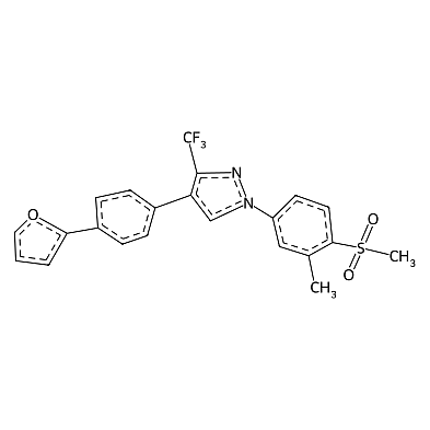 Cc1cc(-n2cc(-c3ccc(-c4ccco4)cc3)c(C(F)(F)F)n2)ccc1S(C)(=O)=O